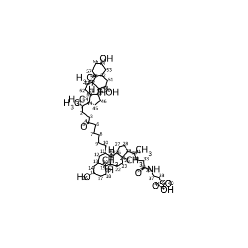 C[C@H](CCC(=O)CCCCC[C@@H]1CC2C[C@@H](O)CC[C@@]2(C)[C@@H]2CC[C@]3(C)C(CC[C@H]3[C@@H](C)CCC(=O)NCCS(=O)(=O)O)[C@@H]12)[C@H]1CCC2[C@@H]3[C@@H](O)CC4C[C@H](O)CC[C@]4(C)[C@H]3CC[C@@]21C